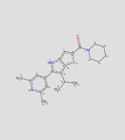 Cc1cc(-c2[nH]c3cc(C(=O)N4CCCCC4)sc3c2C(C)C)cc(C)n1